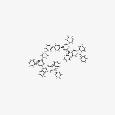 c1ccc(-c2nc(-c3ccc(-c4cccc(-c5ccc(-c6nc(-c7ccccc7)nc(-n7c8ccccc8c8cc9c(cc87)c7ccccc7n9-c7ccccc7)n6)cc5)c4)cc3)nc(-n3c4ccccc4c4cc5c(cc43)c3ccccc3n5-c3ccccc3)n2)cc1